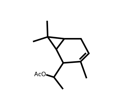 CC(=O)OC(C)C1C(C)=CCC2C1C2(C)C